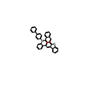 c1ccc(-c2ccc(N(c3ccccc3-c3ccc4sc5ccccc5c4c3)c3cccc4ccccc34)cc2)cc1